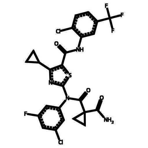 NC(=O)C1(C(=O)N(c2cc(F)cc(Cl)c2)c2nc(C3CC3)c(C(=O)Nc3cc(C(F)(F)F)ccc3Cl)s2)CC1